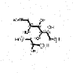 CNC[C@H](O)[C@@H](O)[C@H](O)[C@H](O)CO.NC(CC(=O)O)C(=O)O